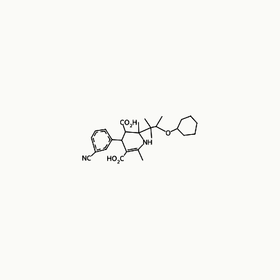 CC1=C(C(=O)O)C(c2cccc(C#N)c2)C(C(=O)O)C(C)(C(C)(C)C(C)OC2CCCCC2)N1